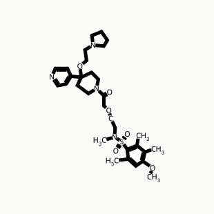 COc1cc(C)c(S(=O)(=O)N(C)CCOCC(=O)N2CCC(OCCN3CCCC3)(c3ccncc3)CC2)c(C)c1C